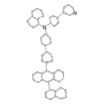 c1cncc(-c2ccc(N(c3ccc(-c4ccc(-c5c6ccccc6c(-c6cccc7ccccc67)c6ccccc56)cc4)cc3)c3cccc4ccccc34)cc2)c1